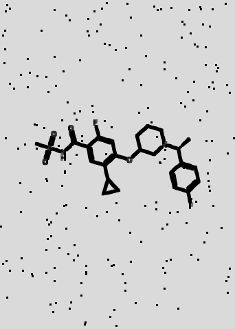 C[C@@H](c1ccc(F)cc1)N1CCCC(Oc2cc(F)c(C(=O)NS(C)(=O)=O)cc2C2CC2)C1